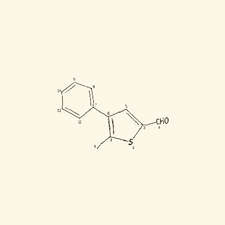 Cc1sc(C=O)cc1-c1ccccc1